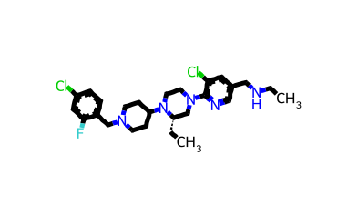 CCNCc1cnc(N2CCN(C3CCN(Cc4ccc(Cl)cc4F)CC3)[C@@H](CC)C2)c(Cl)c1